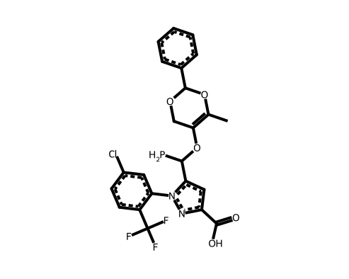 CC1=C(OC(P)c2cc(C(=O)O)nn2-c2cc(Cl)ccc2C(F)(F)F)COC(c2ccccc2)O1